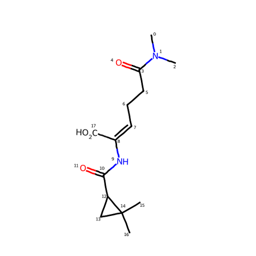 CN(C)C(=O)CC/C=C(/NC(=O)C1CC1(C)C)C(=O)O